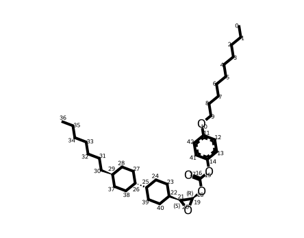 CCCCCCCCCCOc1ccc(OC(=O)O[C@H]2O[C@H]2C2CCC([C@H]3CC[C@H](CCCCCCC)CC3)CC2)cc1